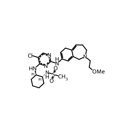 COCCN1CCC=C2CC=C(Nc3ncc(Cl)c(N[C@@H]4CCCC[C@H]4NS(C)(=O)=O)n3)C=C2C1